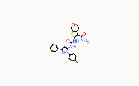 Cc1ccc(-n2nc(-c3ccccc3)cc2NC(=O)Nc2sc3c(c2C(N)=O)CCOC3)cc1